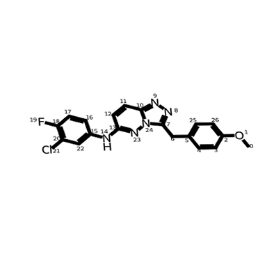 COc1ccc(Cc2nnc3ccc(Nc4ccc(F)c(Cl)c4)nn23)cc1